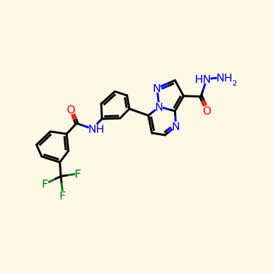 NNC(=O)c1cnn2c(-c3cccc(NC(=O)c4cccc(C(F)(F)F)c4)c3)ccnc12